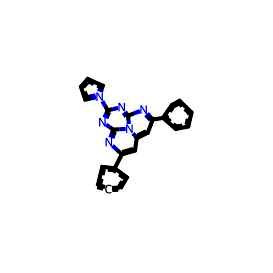 C1=C(c2ccccc2)N=C2N=C(n3cccc3)N=C3N=C(c4ccccc4)C=C1N23